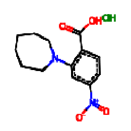 Cl.O=C(O)c1ccc([N+](=O)[O-])cc1N1CCCCCC1